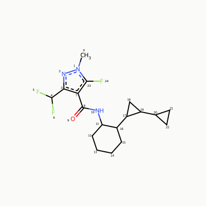 Cn1nc(C(F)F)c(C(=O)NC2CCCCC2C2CC2C2CC2)c1F